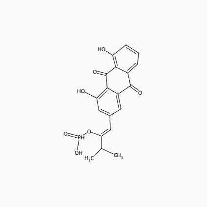 CC(C)/C(=C/c1cc(O)c2c(c1)C(=O)c1cccc(O)c1C2=O)O[PH](=O)O